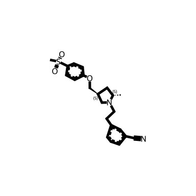 C[C@H]1C[C@H](COc2ccc(S(C)(=O)=O)cc2)CN1CCc1cccc(C#N)c1